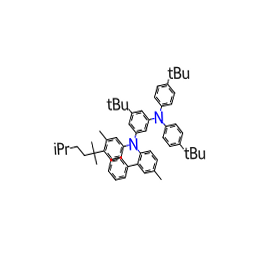 Cc1ccc(N(c2cc(N(c3ccc(C(C)(C)C)cc3)c3ccc(C(C)(C)C)cc3)cc(C(C)(C)C)c2)c2ccc(C(C)(C)CCC(C)C)c(C)c2)c(-c2ccccc2)c1